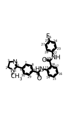 CN1CCN=C1c1ccc(C(=O)Nc2ccccc2C(=O)Nc2ccc(F)cc2)cc1